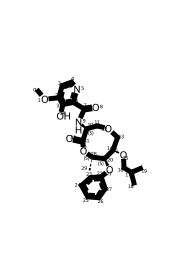 COc1ccnc(C(=O)N[C@H]2COC[C@H](OCC(C)C)[C@@H](Oc3ccccc3)[C@H](C)OC2=O)c1O